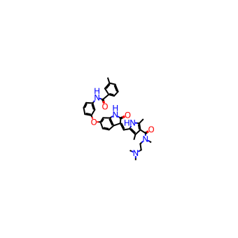 Cc1cccc(C(=O)Nc2cccc(Oc3ccc4c(c3)NC(=O)C4=Cc3[nH]c(C)c(C(=O)N(C)CCN(C)C)c3C)c2)c1